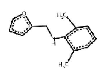 Cc1cccc(C)c1NCc1ccco1